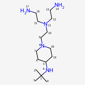 CC(C)(C)NC1CCN(CCN(CCN)CCN)CC1